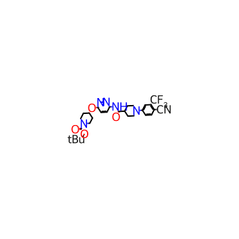 CC(C)(C)OC(=O)N1CCC(Oc2ccc(NC(=O)C3CCN(c4ccc(C#N)c(C(F)(F)F)c4)CC3)nn2)CC1